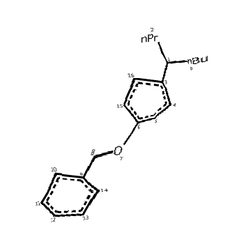 CCCCC(CCC)c1ccc(OCc2ccccc2)cc1